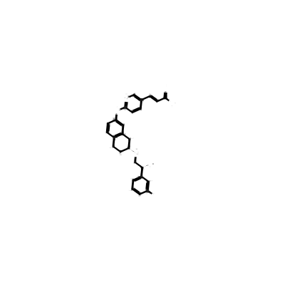 O=C(O)C=Cc1ccc(Oc2ccc3c(c2)C[C@@H](NC[C@@H](O)c2cccc(Cl)c2)CC3)nc1